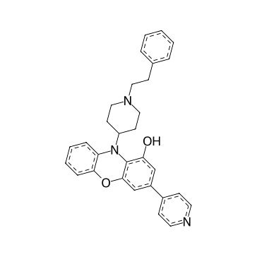 Oc1cc(-c2ccncc2)cc2c1N(C1CCN(CCc3ccccc3)CC1)c1ccccc1O2